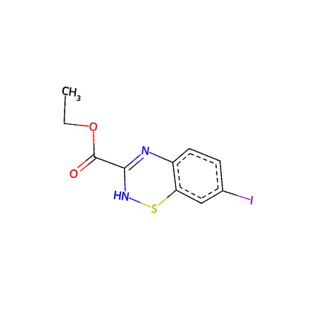 CCOC(=O)C1=Nc2ccc(I)cc2SN1